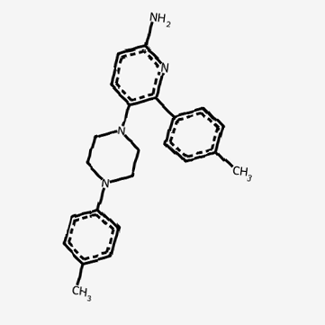 Cc1ccc(-c2nc(N)ccc2N2CCN(c3ccc(C)cc3)CC2)cc1